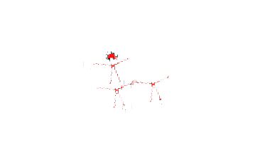 CCCCCCCCCC[N+](CCCCCCCCCC)(CCCCCCCCCC)CCCCCCCCCC.CCCCCCCCCC[N+](CCCCCCCCCC)(CCCCCCCCCC)CCCCCCCCCC.CCCCCCCCCC[N+](CCCCCCCCCC)(CCCCCCCCCC)CCCCCCCCCC.N#[C][Fe-3]([C]#N)([C]#N)([C]#N)([C]#N)[C]#N